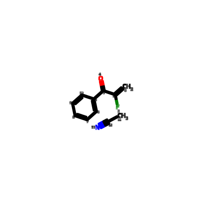 C=C(F)C(=O)c1ccccc1.CC#N